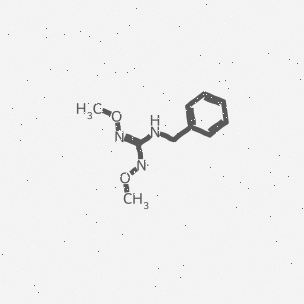 CO[N]/C(=N/OC)NCc1ccccc1